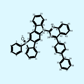 O=P1(c2ccccc2)c2ccccc2-c2cc3c(cc21)c1ccccc1n3-c1nc(-c2ccc(-c3ccccc3)cc2)c2ccccc2n1